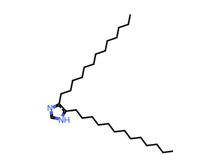 CCCCCCCCCCCCCc1nc[nH]c1CCCCCCCCCCCCC